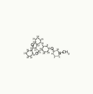 CN1CCCC(Oc2ccc(C(=O)c3c(-c4ccccc4)oc4ccccc34)cc2)C1